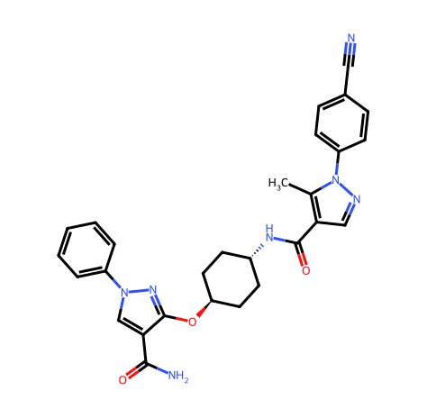 Cc1c(C(=O)N[C@H]2CC[C@H](Oc3nn(-c4ccccc4)cc3C(N)=O)CC2)cnn1-c1ccc(C#N)cc1